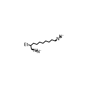 CCC(C=[N+]=[N-])CCCCCCCC=[N+]=[N-]